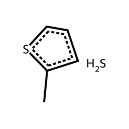 Cc1cccs1.S